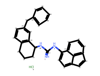 Cl.N=C(Nc1ccc2c3c(cccc13)C=C2)NC1CCCc2ccc(Cc3ccccc3)cc21